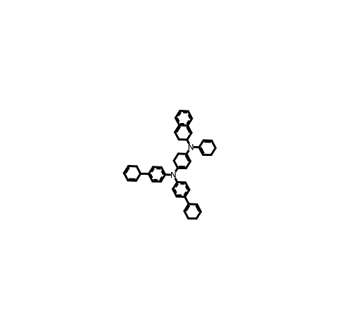 C1=CCC(c2ccc(N(C3=CC=C(N(C4=CCCC=C4)C4C=c5ccccc5=CC4)CC3)c3ccc(C4=CCCC=C4)cc3)cc2)C=C1